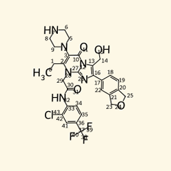 CCc1c(N2CCNCC2)c(=O)n2c(CO)c(-c3ccc4c(c3)COC4)nc2n1CC(=O)Nc1ccc(C(F)(F)F)cc1Cl